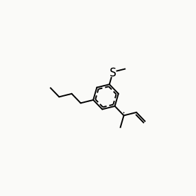 C=C[C](C)c1cc(CCCC)cc(SC)c1